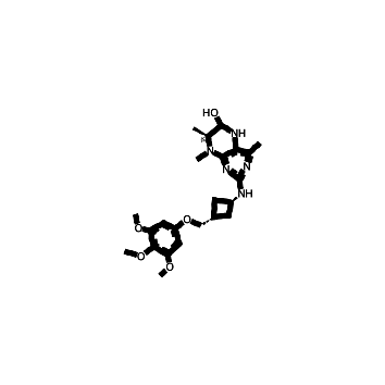 COc1cc(OC[C@H]2C[C@@H](Nc3nc(C)c4c(n3)N(C)[C@@H](C)C(O)N4)C2)cc(OC)c1OC